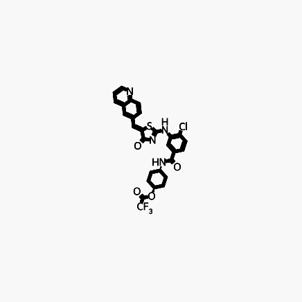 O=C1N=C(Nc2cc(C(=O)N[C@H]3CC[C@H](OC(=O)C(F)(F)F)CC3)ccc2Cl)S/C1=C\c1ccc2ncccc2c1